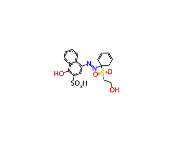 O=S(=O)(O)c1cc(N=NC2(S(=O)(=O)CCO)C=CC=CC2)c2ccccc2c1O